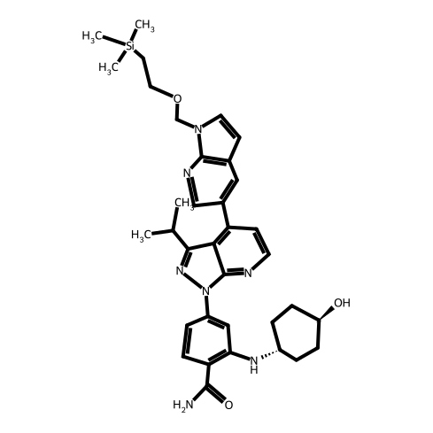 CC(C)c1nn(-c2ccc(C(N)=O)c(N[C@H]3CC[C@H](O)CC3)c2)c2nccc(-c3cnc4c(ccn4COCC[Si](C)(C)C)c3)c12